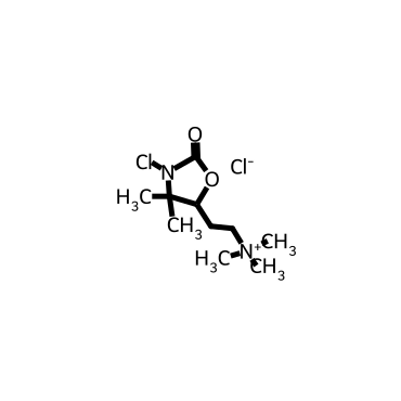 CC1(C)C(CC[N+](C)(C)C)OC(=O)N1Cl.[Cl-]